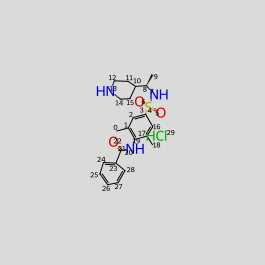 Cc1cc(S(=O)(=O)N[C@H](C)C2CCNCC2)cc(C)c1NC(=O)c1ccccc1.Cl